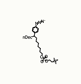 CCCCCCCCCCC(CCCCCCCOP(=O)([O-])OCC[N+](C)(C)C)c1ccc(N=[N+]=[N-])cc1